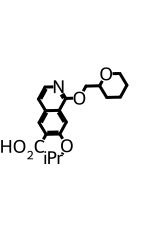 CC(C)Oc1cc2c(OCC3CCCCO3)nccc2cc1C(=O)O